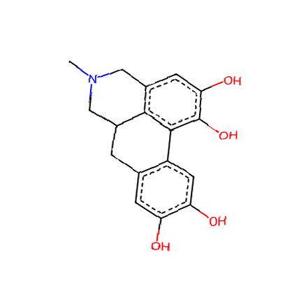 CN1Cc2cc(O)c(O)c3c2C(Cc2cc(O)c(O)cc2-3)C1